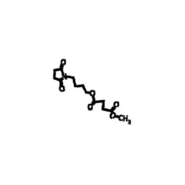 COC(=O)CCC(=O)OCCCCN1C(=O)CCC1=O